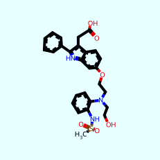 CS(=O)(=O)Nc1ccccc1N(CCO)CCOc1ccc2c(CC(=O)O)c(-c3ccccc3)[nH]c2c1